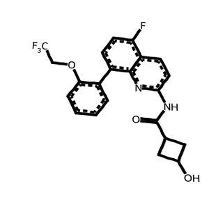 O=C(Nc1ccc2c(F)ccc(-c3ccccc3OCC(F)(F)F)c2n1)C1CC(O)C1